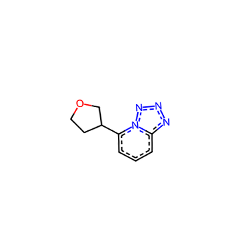 c1cc(C2CCOC2)n2nnnc2c1